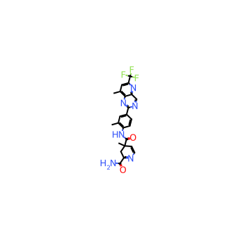 Cc1cc(-c2ncc3nc(C(F)(F)F)cc(C)c3n2)ccc1NC(=O)C1(C)C=CN=C(C(N)=O)C1